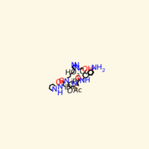 CCC(C)C(NC(=O)[C@H]1CCCCN1C)C(=O)N(CCCCc1cnnn1CCO)C(CC(OC(C)=O)c1nc(C(=O)NC(Cc2ccc(N)cc2)CC(C)(C)C(=O)O)cs1)C(C)C